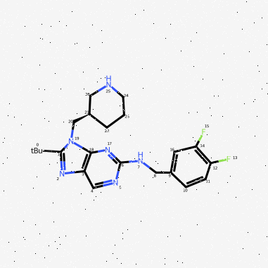 CC(C)(C)c1nc2cnc(NCc3ccc(F)c(F)c3)nc2n1C[C@@H]1CCCNC1